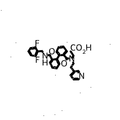 O=C(O)CCN(CCc1cccnc1)C(=O)c1ccccc1-c1ccccc1C(=O)NCc1c(F)cccc1F